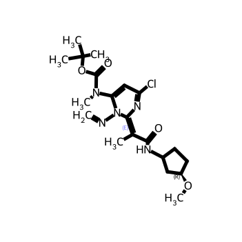 C=NN1C(N(C)C(=O)OC(C)(C)C)=CC(Cl)=N/C1=C(/C)C(=O)NC1CC[C@@H](OC)C1